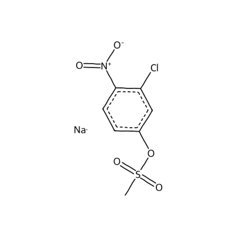 CS(=O)(=O)Oc1ccc([N+](=O)[O-])c(Cl)c1.[Na]